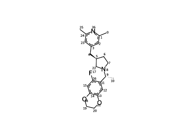 Cc1cc(C[C@H]2CCN([C@H](C)c3cc4c(cc3F)OCCO4)C2)cc(C)n1